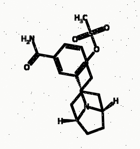 CS(=O)(=O)OCCCN1[C@@H]2CC[C@H]1C[C@@H](c1cccc(C(N)=O)c1)C2